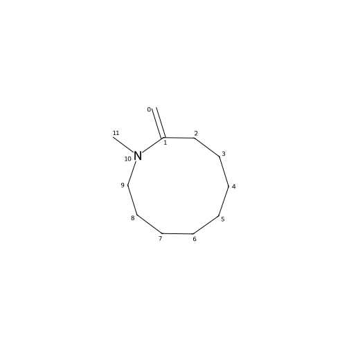 C=C1CCCCCCCCN1C